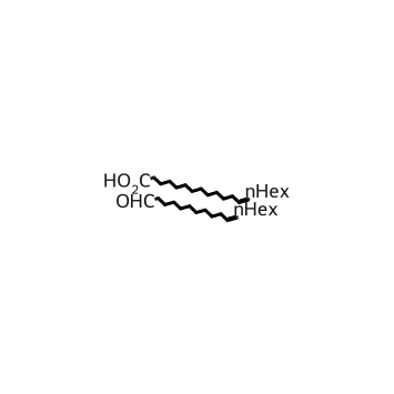 CCCCCC/C=C\CCCCCCCCCC=O.CCCCCC/C=C\CCCCCCCCCCCC(=O)O